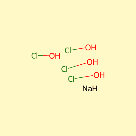 OCl.OCl.OCl.OCl.[NaH]